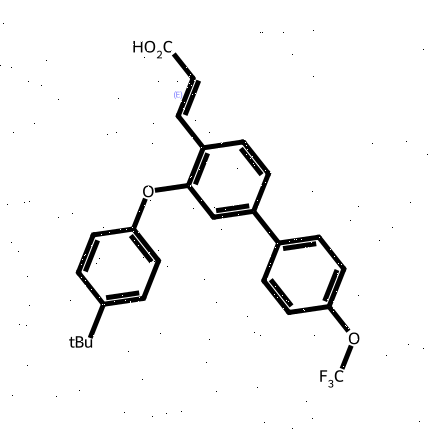 CC(C)(C)c1ccc(Oc2cc(-c3ccc(OC(F)(F)F)cc3)ccc2/C=C/C(=O)O)cc1